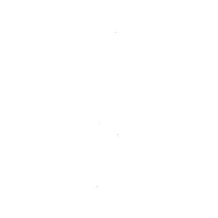 CCCCCCCCCCCCCCCCCCCCCC(O)NCCCCCCCCCCCCCCCC